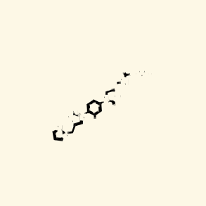 COC(=S)NC[C@H]1CN(c2ccc(-n3cc(Cn4cccn4)nn3)c(F)c2)C(=O)O1